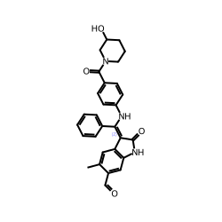 Cc1cc2c(cc1C=O)NC(=O)/C2=C(\Nc1ccc(C(=O)N2CCCC(O)C2)cc1)c1ccccc1